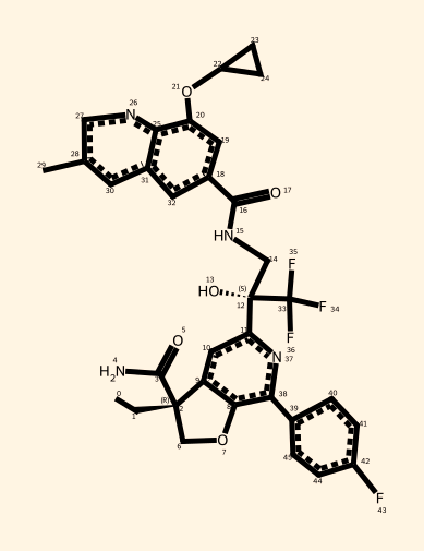 CC[C@]1(C(N)=O)COc2c1cc([C@@](O)(CNC(=O)c1cc(OC3CC3)c3ncc(C)cc3c1)C(F)(F)F)nc2-c1ccc(F)cc1